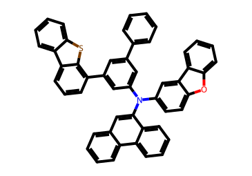 c1ccc(-c2cc(-c3cccc4c3sc3ccccc34)cc(N(c3ccc4oc5ccccc5c4c3)c3cc4ccccc4c4ccccc34)c2)cc1